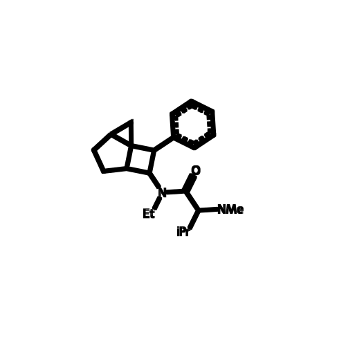 CCN(C(=O)C(NC)C(C)C)C1C2CCC3CC32C1c1ccccc1